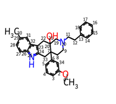 COc1cccc(C23CCN(CCc4ccccc4)CC2(O)Cc2c([nH]c4ccc(C)cc24)C3)c1